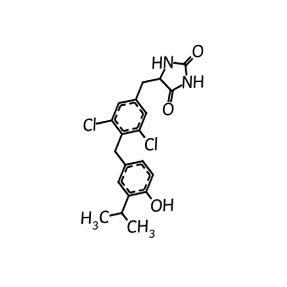 CC(C)c1cc(Cc2c(Cl)cc(CC3NC(=O)NC3=O)cc2Cl)ccc1O